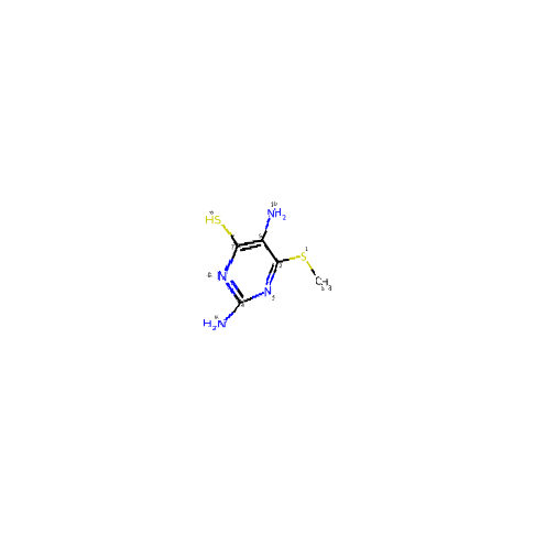 CSc1nc(N)nc(S)c1N